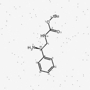 CC(C)(C)OC(=O)NC[C@H](N)c1ccccc1